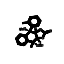 CO[C@@]1(c2ccccc2C)c2ccccc2[C@@](C)(OC)[C@H]2OC(=O)O[C@H]21